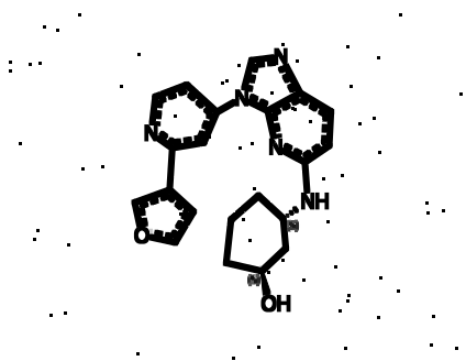 O[C@H]1CCC[C@H](Nc2ccc3ncn(-c4ccnc(-c5ccoc5)c4)c3n2)C1